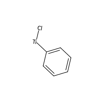 [Cl][Ti][c]1ccccc1